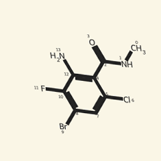 CNC(=O)c1c(Cl)cc(Br)c(F)c1N